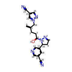 C=C(CCC(=O)N1N=CCC1c1cncc(C#N)c1)Cn1cc(C#N)cn1